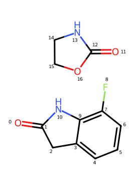 O=C1Cc2cccc(F)c2N1.O=C1NCCO1